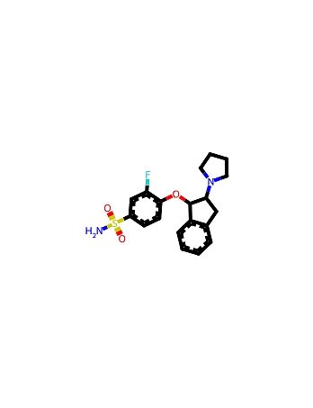 NS(=O)(=O)c1ccc(OC2c3ccccc3CC2N2CCCC2)c(F)c1